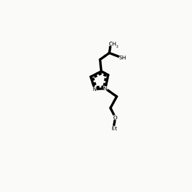 CCOCCn1cc(CC(C)S)cn1